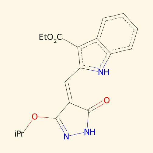 CCOC(=O)c1c(C=C2C(=O)NN=C2OC(C)C)[nH]c2ccccc12